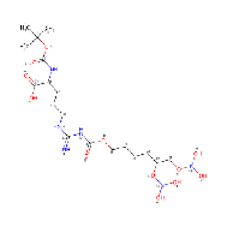 CC(C)(C)OC(=O)NC(CCCNC(=N)NC(=O)OCCCCC(CON(O)O)ON(O)O)C(=O)O